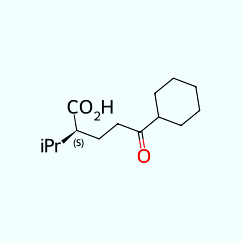 CC(C)[C@H](CCC(=O)C1CCCCC1)C(=O)O